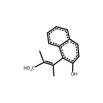 CC(C(=O)O)=C(C)c1c(O)ccc2ccccc12